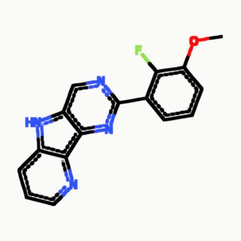 COc1cccc(-c2ncc3[nH]c4cccnc4c3n2)c1F